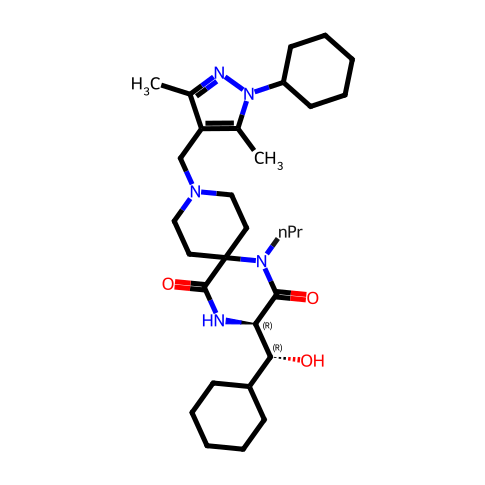 CCCN1C(=O)[C@@H]([C@H](O)C2CCCCC2)NC(=O)C12CCN(Cc1c(C)nn(C3CCCCC3)c1C)CC2